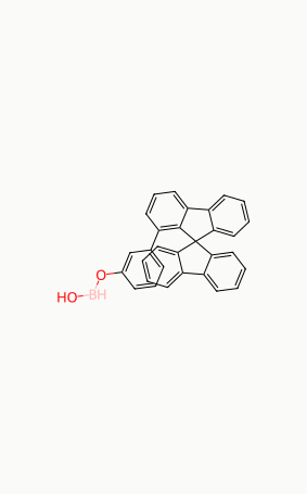 OBOc1cccc(-c2cccc3c2C2(c4ccccc4-c4ccccc42)c2ccccc2-3)c1